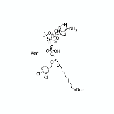 CCCCCCCCCCCCCCCCCCOC[C@H](COP(=O)(O)OC[C@H]1O[C@@](C#N)(c2ccc3c(N)ncnn23)[C@@H]2OC(C)(C)O[C@@H]21)OCc1ccc(Cl)c(Cl)c1.[Na+].[OH-]